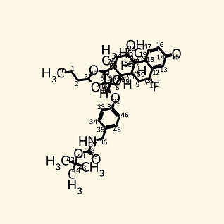 CCCC1O[C@@H]2C[C@H]3[C@@H]4C[C@H](F)C5=CC(=O)C=C[C@]5(C)[C@@]4(F)[C@@H](O)C[C@]3(C)[C@]2(C(=O)COc2ccc(CNC(=O)OC(C)(C)C)cc2)O1